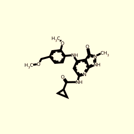 COCc1ccc(Nc2cc(NC(=O)C3CC3)nc3[nH]n(C)c(=O)c23)c(OC)c1